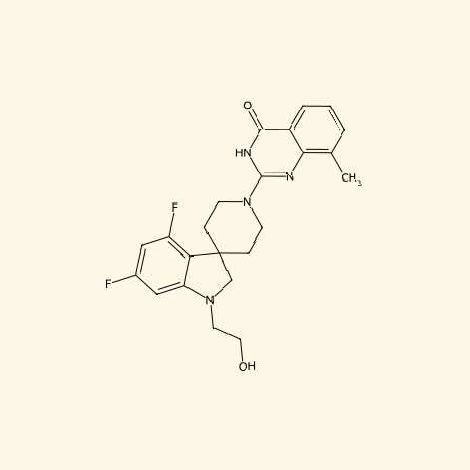 Cc1cccc2c(=O)[nH]c(N3CCC4(CC3)CN(CCO)c3cc(F)cc(F)c34)nc12